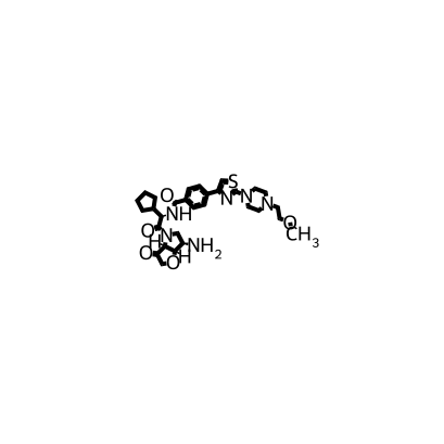 COCCN1CCN(c2nc(-c3ccc(C(=O)N[C@H](C(=O)N4C[C@@H](N)[C@H]5OCC(=O)[C@H]54)C4CCCC4)cc3)cs2)CC1